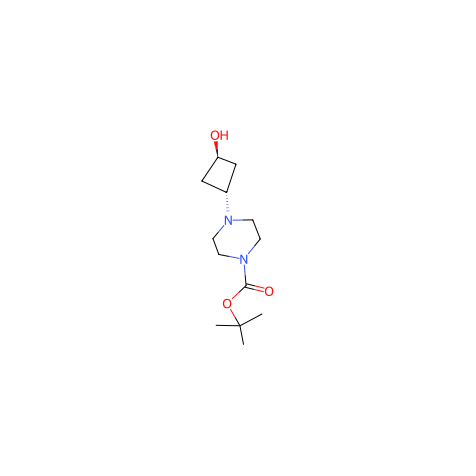 CC(C)(C)OC(=O)N1CCN([C@H]2C[C@H](O)C2)CC1